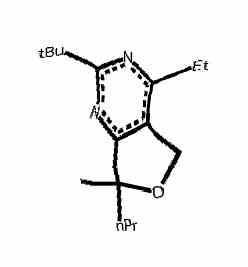 CCCC1(C)OCc2c(CC)nc(C(C)(C)C)nc21